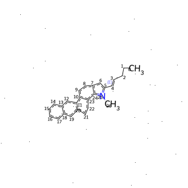 CCC/C=C/c1cc2ccc3c4cc5ccccc5cc4ccc3c2n1C